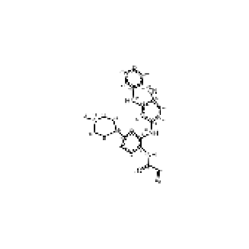 C=CC(=O)Nc1ccc(N2CCN(C)CC2)cc1Nc1ncc(C#N)c(Nc2ccccc2)n1